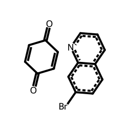 Brc1ccc2cccnc2c1.O=C1C=CC(=O)C=C1